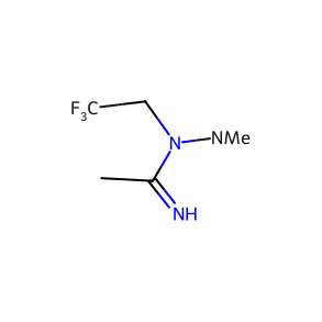 CNN(CC(F)(F)F)C(C)=N